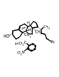 CC(C)CCCC(C)[C@H]1CC[C@H]2[C@@H]3CC=C4C[C@@H](O)CC[C@]4(C)[C@H]3CC[C@]12C.O=C(O)c1ccccc1[N+](=O)[O-]